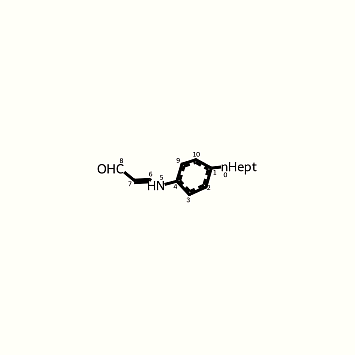 CCCCCCCc1ccc(NC=CC=O)cc1